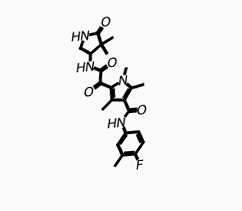 Cc1cc(NC(=O)c2c(C)c(C(=O)C(=O)NC3CNC(=O)C3(C)C)n(C)c2C)ccc1F